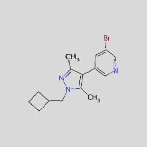 Cc1nn(CC2CCC2)c(C)c1-c1cncc(Br)c1